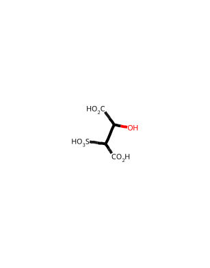 O=C(O)[C](O)C(C(=O)O)S(=O)(=O)O